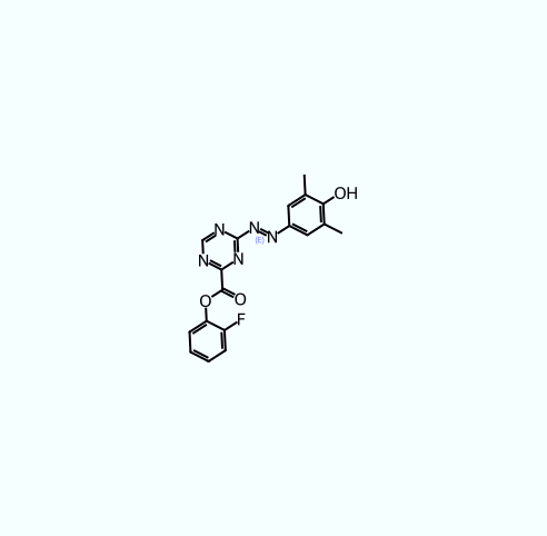 Cc1cc(/N=N/c2ncnc(C(=O)Oc3ccccc3F)n2)cc(C)c1O